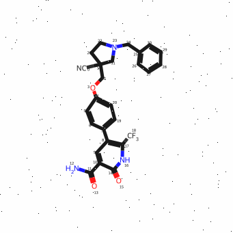 N#CC1(COc2ccc(-c3cc(C(N)=O)c(=O)[nH]c3C(F)(F)F)cc2)CCN(Cc2ccccc2)C1